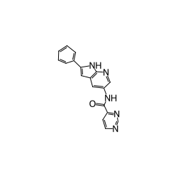 O=C(Nc1cnc2[nH]c(-c3ccccc3)cc2c1)c1ccncn1